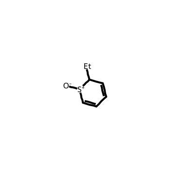 CCC1C=CC=C[S+]1[O-]